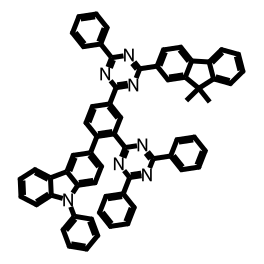 CC1(C)c2ccccc2-c2ccc(-c3nc(-c4ccccc4)nc(-c4ccc(-c5ccc6c(c5)c5ccccc5n6-c5ccccc5)c(-c5nc(-c6ccccc6)nc(-c6ccccc6)n5)c4)n3)cc21